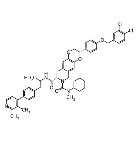 Cc1nccc(-c2ccc(CC(NC(=O)[C@@H]3Cc4cc5c(cc4CN3C(=O)N(C)C3CCCCC3)O[C@@H](c3ccc(OCc4ccc(Cl)c(Cl)c4)cc3)CO5)C(=O)O)cc2)c1C